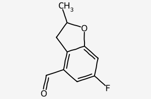 CC1Cc2c(C=O)cc(F)cc2O1